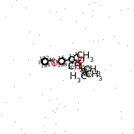 CCC1C=C(c2ccc(OCc3cc#ccc3)cc2)C(C)C1C(=O)OCCS(C)(C)C